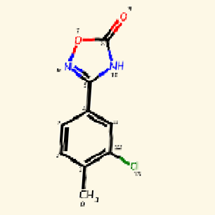 Cc1ccc(-c2noc(=O)[nH]2)cc1Cl